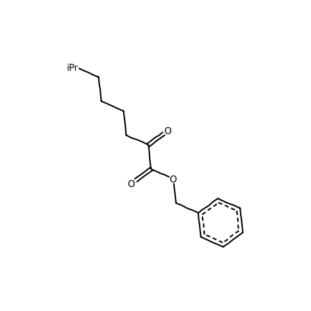 CC(C)CCCCC(=O)C(=O)OCc1ccccc1